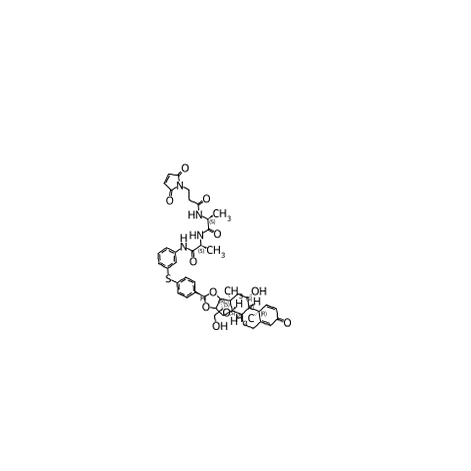 C[C@H](NC(=O)CCN1C(=O)C=CC1=O)C(=O)N[C@@H](C)C(=O)Nc1cccc(Sc2ccc([C@@H]3OC4C[C@H]5[C@@H]6CCC7=CC(=O)C=C[C@]7(C)[C@H]6[C@@H](O)C[C@]5(C)[C@]4(C(=O)CO)O3)cc2)c1